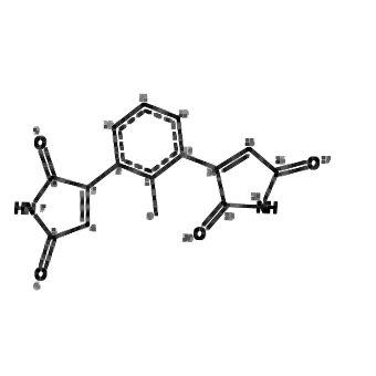 Cc1c(C2=CC(=O)NC2=O)cccc1C1=CC(=O)NC1=O